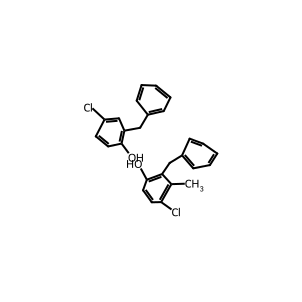 Cc1c(Cl)ccc(O)c1Cc1ccccc1.Oc1ccc(Cl)cc1Cc1ccccc1